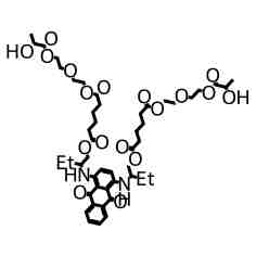 CCC(COC(=O)CCCCC(=O)OCCOCCOC(=O)C(C)O)Nc1ccc(NC(CC)COC(=O)CCCCC(=O)OCCOCCOC(=O)C(C)O)c2c1C(=O)c1ccccc1C2=O